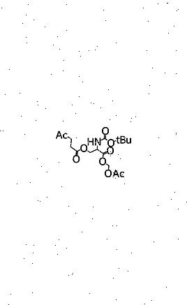 CC(=O)CCC(=O)OCC(NC(=O)OC(C)(C)C)C(=O)OCOC(C)=O